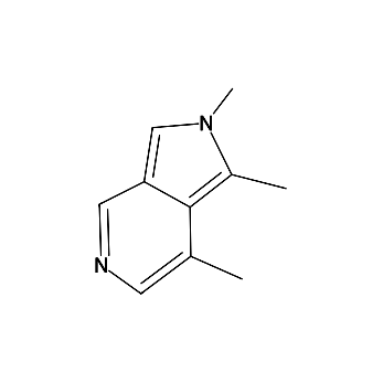 Cc1cncc2cn(C)c(C)c12